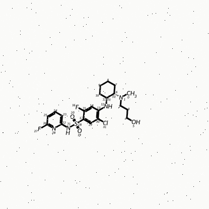 CN(CCCO)[C@H]1CCCC[C@@H]1Nc1cc(F)c(S(=O)(=O)Nc2cccc(F)n2)cc1Cl